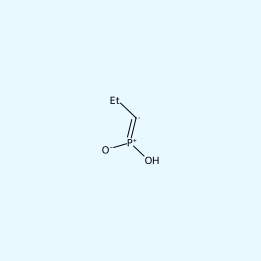 CC/[C]=[P+](\[O-])O